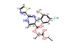 CCOC(=O)[C@@H](C)OC(=O)C1=C(C)NC(c2nccs2)=NC1c1ccc(F)cc1Br